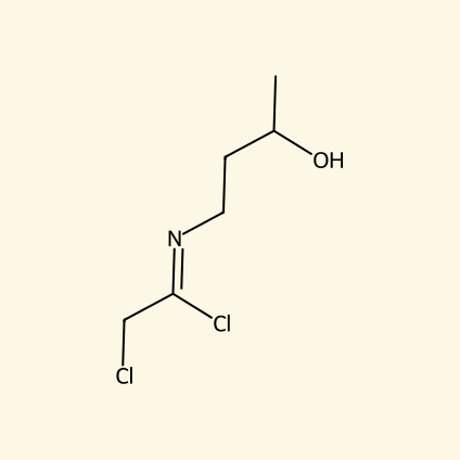 CC(O)CCN=C(Cl)CCl